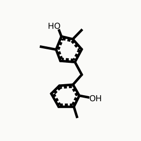 Cc1cc(Cc2cccc(C)c2O)cc(C)c1O